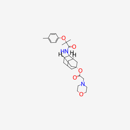 Cc1ccc(OC(C)(C)C(=O)N[C@H]2[C@@H]3CC4C[C@H]2C[C@](OC(=O)CN2CCOCC2)(C4)C3)cc1